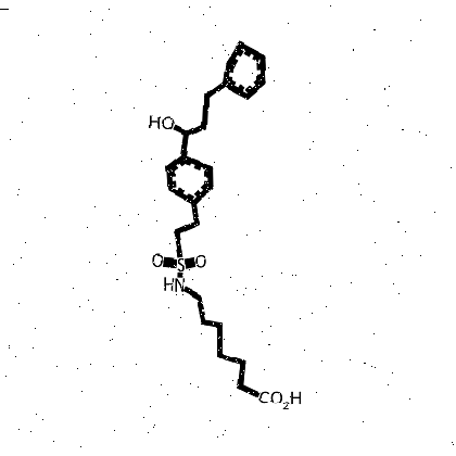 O=C(O)CCCCCCNS(=O)(=O)CCc1ccc(C(O)CCc2ccccc2)cc1